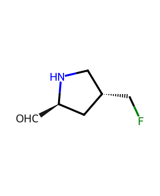 O=C[C@@H]1C[C@@H](CF)CN1